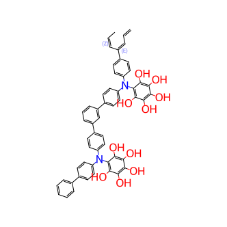 C=C/C=C(\C=C/C)c1ccc(N(c2ccc(-c3cccc(-c4ccc(N(c5ccc(-c6ccccc6)cc5)c5c(O)c(O)c(O)c(O)c5O)cc4)c3)cc2)c2c(O)c(O)c(O)c(O)c2O)cc1